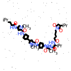 CC(C)CCCC(=O)Nc1cc(C(=O)Nc2ccc(-c3cc(C(=O)Nc4ccc(NC(=O)[C@H](C)NC(=O)[C@@H](NC(=O)CCCCCN5C(=O)CC(C(C)C)C5=O)C(C)C)cc4)n(C)c3)cc2)n(C)c1